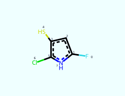 Fc1cc(S)c(Cl)[nH]1